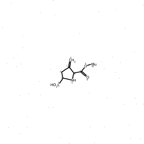 C=C1CC(C(=O)O)NC1C(=O)OC(C)(C)C